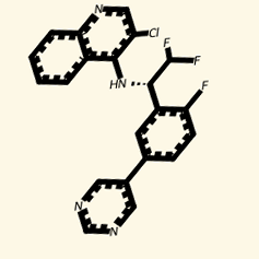 Fc1ccc(-c2cncnc2)cc1[C@H](Nc1c(Cl)cnc2ccccc12)C(F)F